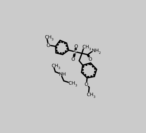 CCNCC.CCOc1cccc(CC(C)(C(N)=O)S(=O)(=O)c2ccc(OC)cc2)c1